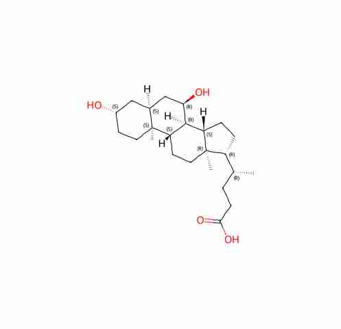 C[C@H](CCC(=O)O)[C@H]1CC[C@H]2[C@@H]3[C@H](O)C[C@@H]4C[C@@H](O)CC[C@]4(C)[C@H]3CC[C@]12C